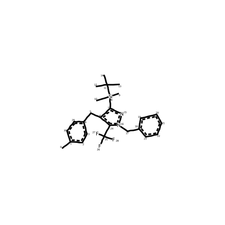 Cc1ccc(Cc2c([Si](C)(C)C(C)(C)C)nn(Cc3ccccc3)c2C(F)(F)F)cc1